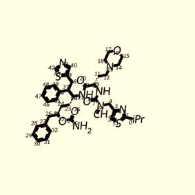 CC(C)c1nc(CN(C)C(=O)N[C@@H](CCN2CCOCC2)C(=O)N[C@H](CC[C@H](Cc2ccccc2)OC(N)=O)C(Cc2cncs2)c2ccccc2)cs1